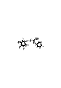 N=C(OOSc1c(F)c(F)c(F)c(F)c1F)Oc1ccccc1